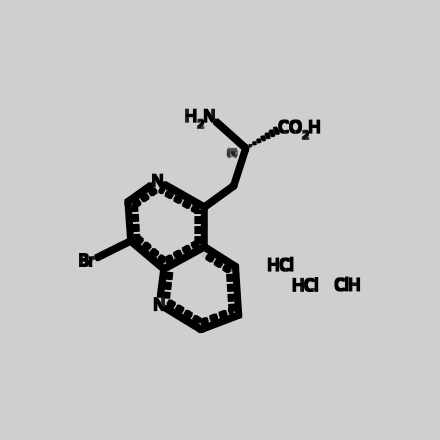 Cl.Cl.Cl.N[C@@H](Cc1ncc(Br)c2ncccc12)C(=O)O